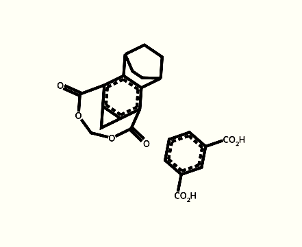 O=C(O)c1cccc(C(=O)O)c1.O=C1OCOC(=O)c2c3c(c1c1c2C2CCC1CC2)C3